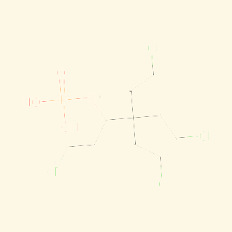 O=P(O)(O)OC(CCCl)C(CCCl)(CCCl)CCCl